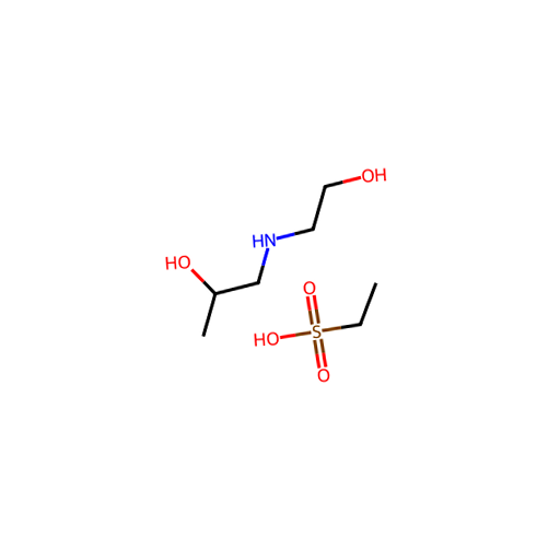 CC(O)CNCCO.CCS(=O)(=O)O